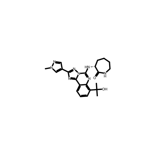 Cn1cc(-c2nc3c4cccc(C(C)(C)O)c4nc(N[C@@H]4CCCCNC4=O)n3n2)cn1